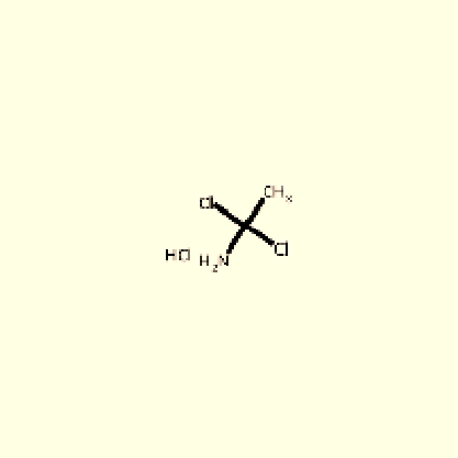 CC(N)(Cl)Cl.Cl